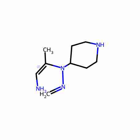 C=NN(/C(C)=C\N)C1CCNCC1